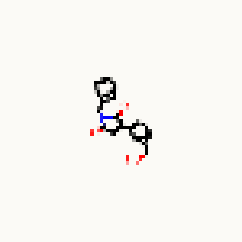 O=C1C=C(C2=CC3CC(CO)C2C3)C(=O)N1CC1CC2C=CC1C2